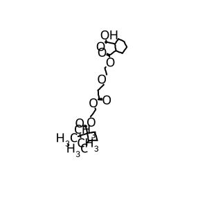 CC1CCC1(C(=O)OCCOC(=O)CCOCCOC(=O)C1CCCCC1C(=O)O)C(C)(C)C